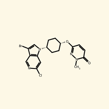 Cn1nc(O[C@H]2CC[C@@H](n3cc(Br)c4cnc(Cl)cc43)CC2)ccc1=O